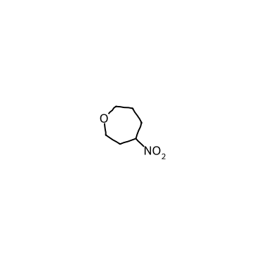 O=[N+]([O-])C1CCCOCC1